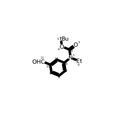 CCN(C(=O)OC(C)(C)C)c1cccc(C=O)c1